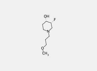 COCCCN1CC[C@H](O)[C@H](F)C1